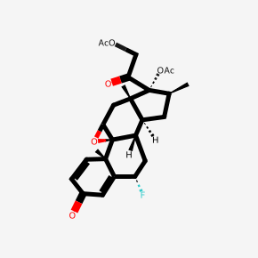 CC(=O)OCC(=O)[C@@]1(OC(C)=O)[C@@H](C)C[C@H]2[C@@H]3C[C@H](F)C4=CC(=O)C=C[C@]4(C)[C@@]34OC4C[C@@]21C